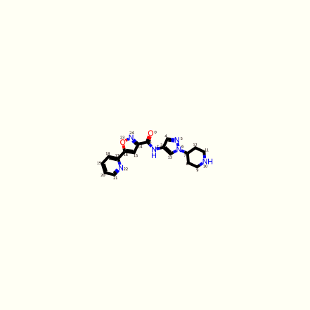 O=C(Nc1cnn(C2CCNCC2)c1)c1cc(-c2ccccn2)on1